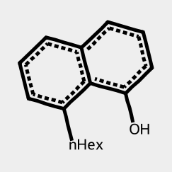 CCCCCCc1cccc2cccc(O)c12